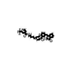 O=C(NCCCCCN1CCN(C(=O)c2cc(Cc3n[nH]c(=O)c4ccccc34)ccc2F)CC1)c1ccnc(C(F)(F)F)c1